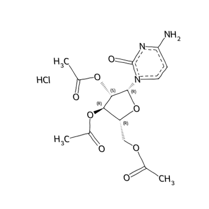 CC(=O)OC[C@H]1O[C@@H](n2ccc(N)nc2=O)[C@@H](OC(C)=O)[C@@H]1OC(C)=O.Cl